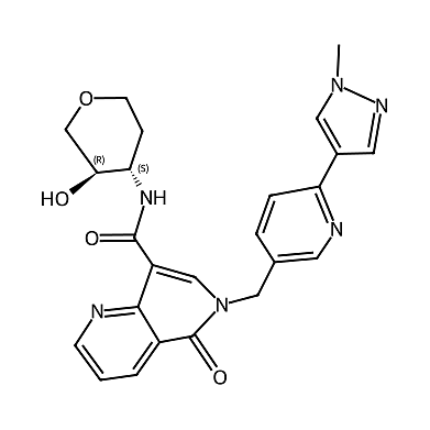 Cn1cc(-c2ccc(Cn3cc(C(=O)N[C@H]4CCOC[C@@H]4O)c4ncccc4c3=O)cn2)cn1